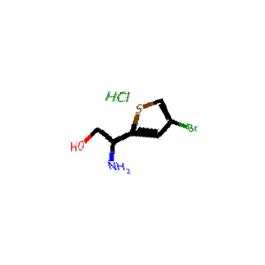 Cl.NC(CO)c1cc(Br)cs1